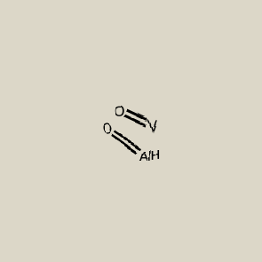 [O]=[AlH].[O]=[V]